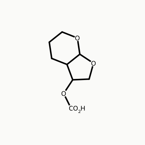 O=C(O)OC1COC2OCCCC12